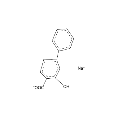 O=C([O-])c1ccc(-c2ccccc2)cc1O.[Na+]